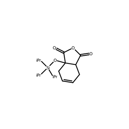 CC(C)[Si](OC12CC=CCC1C(=O)OC2=O)(C(C)C)C(C)C